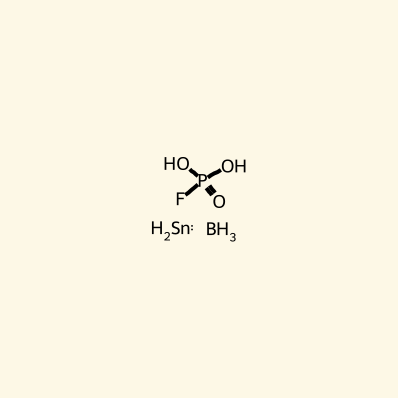 B.O=P(O)(O)F.[SnH2]